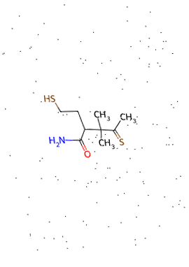 CC(=S)C(C)(C)C(CCS)C(N)=O